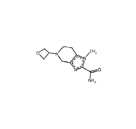 Cn1c(C(N)=O)nc2c1CCN(C1COC1)C2